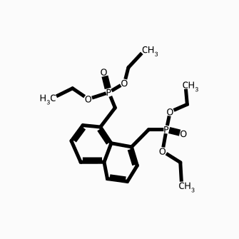 CCOP(=O)(Cc1cccc2cccc(CP(=O)(OCC)OCC)c12)OCC